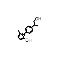 Cc1ccc(O)n1-c1ccc(C(C)CO)cc1